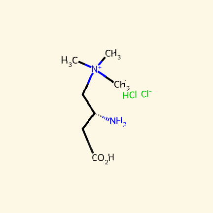 C[N+](C)(C)C[C@H](N)CC(=O)O.Cl.[Cl-]